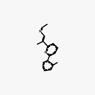 C/C=N\C=C(/C)c1cccc(-c2ccccc2C)n1